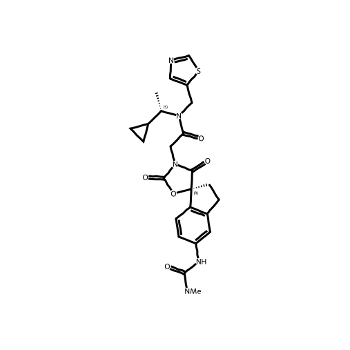 CNC(=O)Nc1ccc2c(c1)CC[C@@]21OC(=O)N(CC(=O)N(Cc2cncs2)[C@@H](C)C2CC2)C1=O